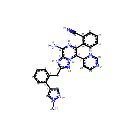 Cn1cc(-c2ccccc2Cc2nc3c(N)nc(-c4ccccc4C#N)c(-c4ccncn4)n3n2)cn1